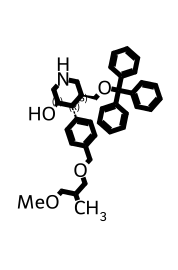 COCC(C)COCc1ccc([C@H]2[C@H](COC(c3ccccc3)(c3ccccc3)c3ccccc3)CNC[C@@H]2O)cc1